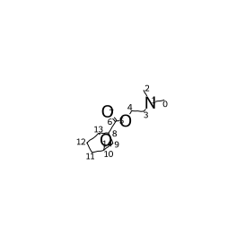 CN(C)CCOC(=O)C1CC2CCC1O2